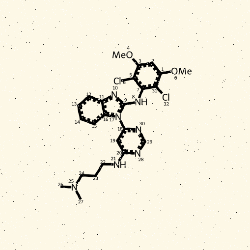 COc1cc(OC)c(Cl)c(Nc2nc3ccccc3n2-c2cc(NCCCN(C)C)ncn2)c1Cl